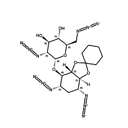 [N-]=[N+]=NC[C@H]1O[C@H](O[C@H]2[C@@H]3OC4(CCCCC4)O[C@H]3[C@H](N=[N+]=[N-])C[C@@H]2N=[N+]=[N-])[C@H](N=[N+]=[N-])[C@@H](O)[C@@H]1O